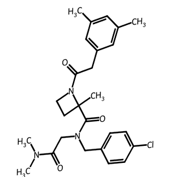 Cc1cc(C)cc(CC(=O)N2CCC2(C)C(=O)N(CC(=O)N(C)C)Cc2ccc(Cl)cc2)c1